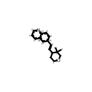 CC1(C)COCCC1C=Cc1ccc2ncccc2c1